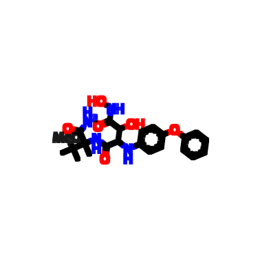 COC(C)(C)C(C)(NC(=O)C(Nc1ccc(Oc2ccccc2)cc1)C(O)C(=O)NO)C(N)=O